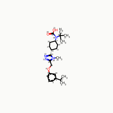 CC(C)c1cccc(OCc2nnc([C@H]3CC[C@H](N(C(=O)O)C(C)(C)C)CC3)n2C)c1